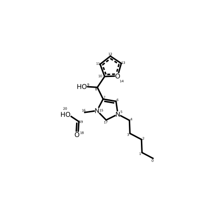 CCCCCN1C=C(C(O)c2ccco2)N(C)C1.O=CO